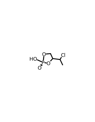 CC(Cl)C1COP(=O)(O)O1